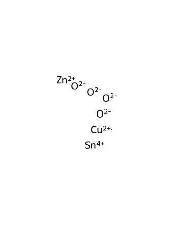 [Cu+2].[O-2].[O-2].[O-2].[O-2].[Sn+4].[Zn+2]